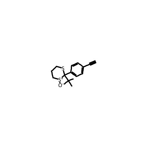 C#Cc1ccc(C2(C(C)(C)C)SCCC[S+]2[O-])cc1